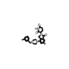 Cc1cccc(CN2CCN(c3cc(F)cc4c3CN(C3CCC(=O)NC3=O)C4=O)CC2)c1